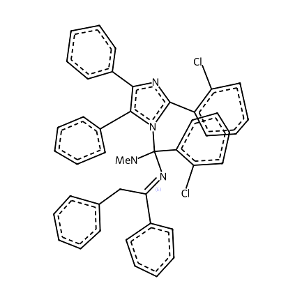 CNC(/N=C(\Cc1ccccc1)c1ccccc1)(c1ccccc1Cl)n1c(-c2ccccc2Cl)nc(-c2ccccc2)c1-c1ccccc1